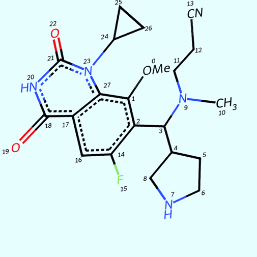 COc1c(C(C2CCNC2)N(C)CCC#N)c(F)cc2c(=O)[nH]c(=O)n(C3CC3)c12